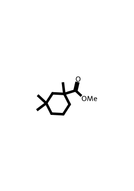 COC(=O)C1(C)CCCC(C)(C)C1